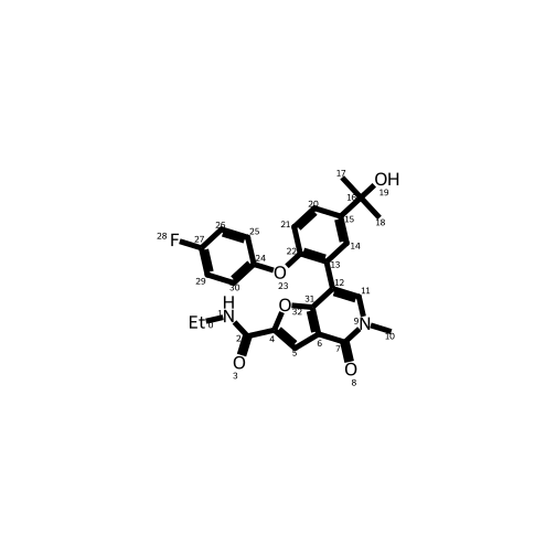 CCNC(=O)c1cc2c(=O)n(C)cc(-c3cc(C(C)(C)O)ccc3Oc3ccc(F)cc3)c2o1